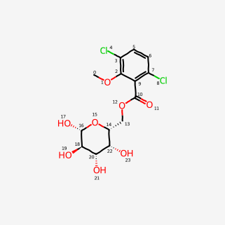 COc1c(Cl)ccc(Cl)c1C(=O)OC[C@H]1O[C@@H](O)[C@H](O)[C@@H](O)[C@H]1O